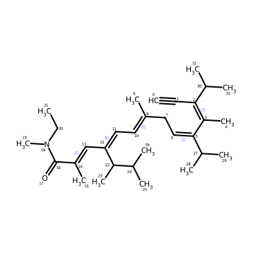 C#C/C(=C(C)\C(=C/C/C(C)=C/C=C(/C=C(\C)C(=O)N(C)CC)C(C)C(C)C)C(C)C)C(C)C